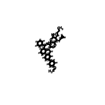 CCCC[C@H](C(N)=O)[C@@H](CC1CC1)C(=O)NC1N=C(c2ccccc2)c2ccccc2N(Cc2cccc(-c3ccc(OC)cc3)c2)C1=O